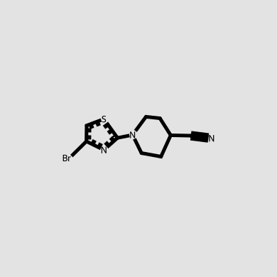 N#CC1CCN(c2nc(Br)cs2)CC1